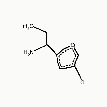 CCC(N)c1cc(Cl)co1